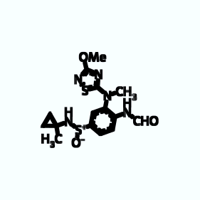 COc1nsc(N(C)c2cc([S+]([O-])NC3(C)CC3)ccc2NC=O)n1